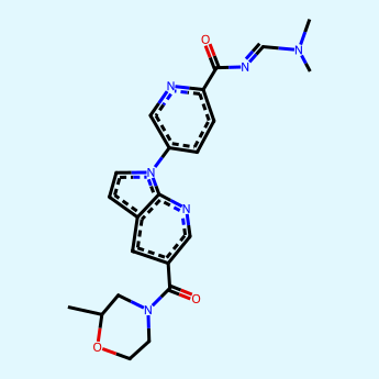 CC1CN(C(=O)c2cnc3c(ccn3-c3ccc(C(=O)N=CN(C)C)nc3)c2)CCO1